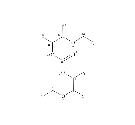 CCOC(C)C(C)OC(=O)OC(C)C(C)OCC